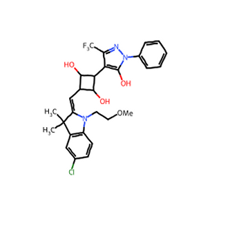 COCCN1C(=CC2C(O)C(c3c(C(F)(F)F)nn(-c4ccccc4)c3O)C2O)C(C)(C)c2cc(Cl)ccc21